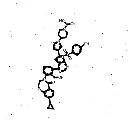 CB(O)N1CCC(n2cc(-c3cc4c(-c5cccc(N6CCOc7cc(C8CC8)ccc7C6=O)c5CO)ncnc4n3S(=O)(=O)c3ccc(C)cc3)cn2)CC1